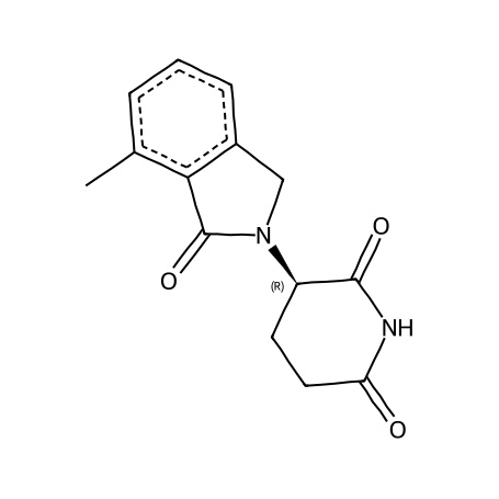 Cc1cccc2c1C(=O)N([C@@H]1CCC(=O)NC1=O)C2